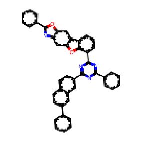 c1ccc(-c2ccc3ccc(-c4nc(-c5ccccc5)nc(-c5cccc6c5oc5cc7nc(-c8ccccc8)oc7cc56)n4)cc3c2)cc1